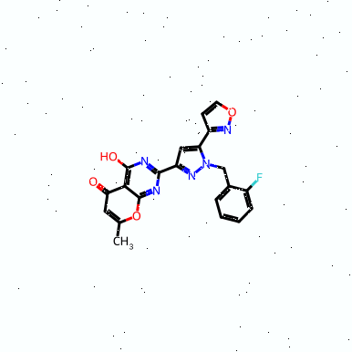 Cc1cc(=O)c2c(O)nc(-c3cc(-c4ccon4)n(Cc4ccccc4F)n3)nc2o1